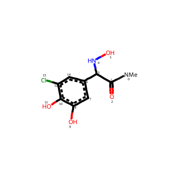 CNC(=O)C(NO)c1cc(O)c(O)c(Cl)c1